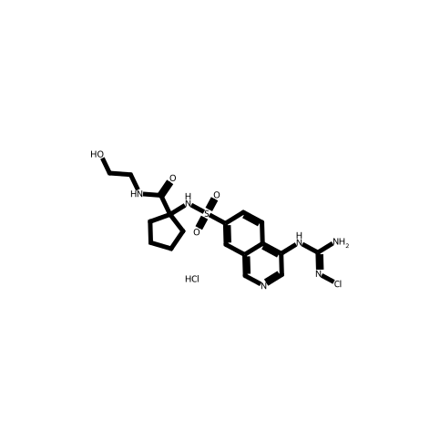 Cl.NC(=NCl)Nc1cncc2cc(S(=O)(=O)NC3(C(=O)NCCO)CCCC3)ccc12